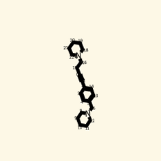 C(#Cc1ccc(CN2CCCCC2)cc1)CCN1CCCCC1